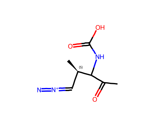 CC(=O)C(NC(=O)O)[C@H](C)C=[N+]=[N-]